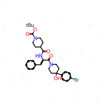 CC(C)(C)OC(=O)N1CCC(C(=O)N/C(=C\c2ccccc2)C(=O)N2CCC(O)(c3ccc(Br)cc3)CC2)CC1